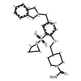 CNC(=O)N1CCC(COc2cnc(CN3Cc4ccccc4C3)cc2S(=O)(=O)N2CCC2)CC1